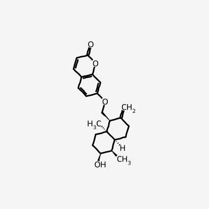 C=C1CC[C@H]2[C@@H](C)[C@@H](O)CC[C@@]2(C)[C@H]1COc1ccc2ccc(=O)oc2c1